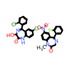 CN1C(=O)CN=C(c2ccccc2F)c2cc([N+](=O)[O-])ccc21.O=C1Nc2ccc(Cl)cc2C(c2ccccc2Cl)=NC1O